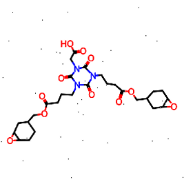 O=C(O)Cn1c(=O)n(CCCC(=O)OCC2CCC3OC3C2)c(=O)n(CCCC(=O)OCC2CCC3OC3C2)c1=O